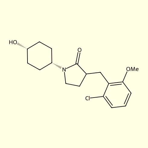 COc1cccc(Cl)c1CC1CCN([C@H]2CC[C@@H](O)CC2)C1=O